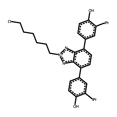 CC(C)c1cc(-c2ccc(-c3ccc(O)c(C(C)C)c3)c3nn(CCCCCCCl)nc23)ccc1O